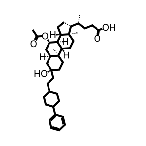 CC(=O)O[C@@H]1C[C@@H]2C[C@@](O)(CCC3CCC(c4ccccc4)CC3)CC[C@]2(C)[C@H]2CC[C@]3(C)[C@@H]([C@H](C)CCC(=O)O)CC[C@H]3[C@H]12